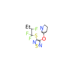 CCC(F)C(F)(F)Sc1nsnc1OC1CN2CCC1C2